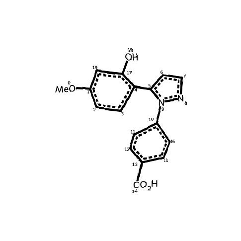 COc1ccc(-c2ccnn2-c2ccc(C(=O)O)cc2)c(O)c1